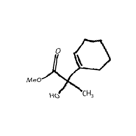 COC(=O)C(C)(O)C1=CCCCC1